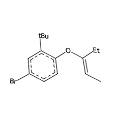 CC=C(CC)Oc1ccc(Br)cc1C(C)(C)C